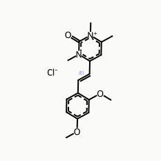 COc1ccc(/C=C/c2cc(C)[n+](C)c(=O)n2C)c(OC)c1.[Cl-]